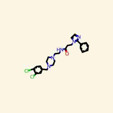 O=C(CCn1ccnc1-c1ccccc1)NCCN1CCN(Cc2ccc(Cl)c(Cl)c2)CC1